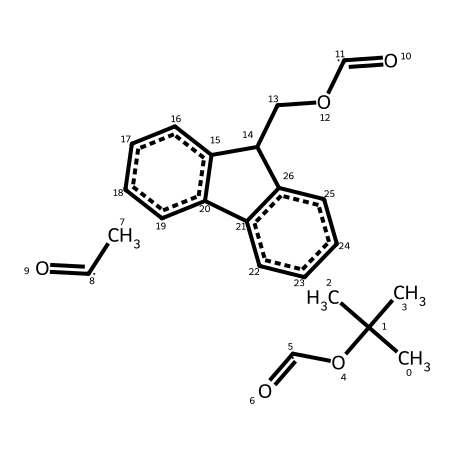 CC(C)(C)O[C]=O.C[C]=O.O=[C]OCC1c2ccccc2-c2ccccc21